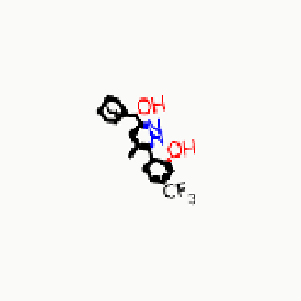 Cc1cc([C@@H](O)C2CC3CCC2CC3)nnc1-c1ccc(C(F)(F)F)cc1O